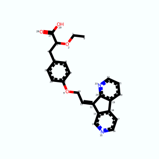 CCOC(Cc1ccc(OCC=C2c3cnccc3-c3cccnc32)cc1)C(=O)O